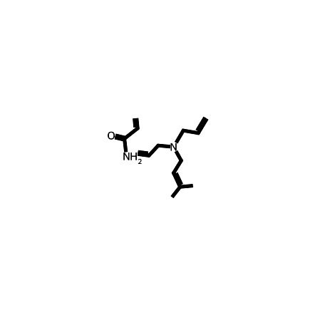 C=CC(N)=O.C=CCN(CC=C)CC=C(C)C